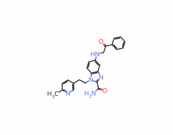 Cc1ccc(CCn2c(C(N)=O)nc3cc(NCC(=O)c4ccccc4)ccc32)cn1